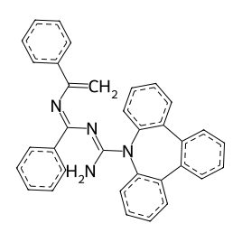 C=C(/N=C(\N=C(/N)N1c2ccccc2-c2ccccc2-c2ccccc21)c1ccccc1)c1ccccc1